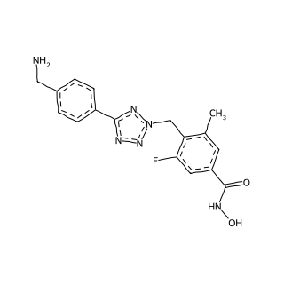 Cc1cc(C(=O)NO)cc(F)c1Cn1nnc(-c2ccc(CN)cc2)n1